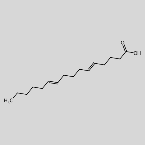 CCCCCC=CCCCC=CCCCC(=O)O